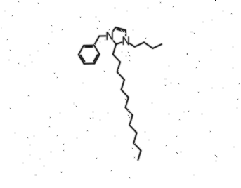 CCCCCCCCCCCCCC1N(CCCC)C=CN1Cc1ccccc1